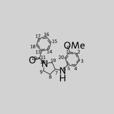 COc1cccc(NC2CCN(C(=O)c3ccccc3)C2)c1